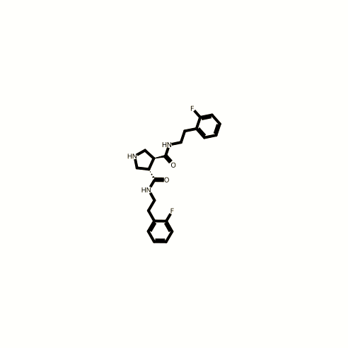 O=C(NCCc1ccccc1F)[C@@H]1CNC[C@H]1C(=O)NCCc1ccccc1F